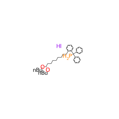 CCCCOC(CCCCCCCCc1ccccc1C(P)(c1ccccc1)c1ccccc1)OCCCC.I